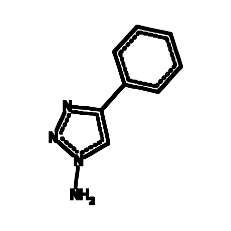 Nn1cc(-c2ccccc2)nn1